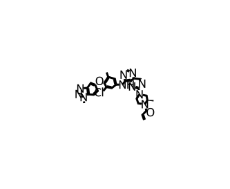 C=CC(=O)N1CCN(c2ncc3ncnc(Nc4cc(C)c(Oc5ccc6c(c5)nnn6C)c(Cl)c4)c3n2)C[C@H]1C